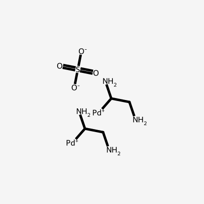 NC[CH](N)[Pd+].NC[CH](N)[Pd+].O=S(=O)([O-])[O-]